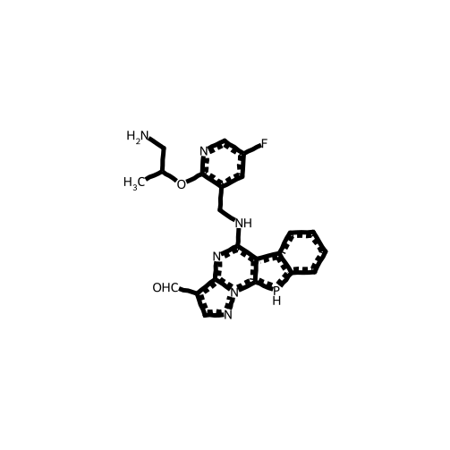 CC(CN)Oc1ncc(F)cc1CNc1nc2c(C=O)cnn2c2[pH]c3ccccc3c12